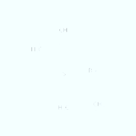 CC(C)c1bcc(C(C)C)s1